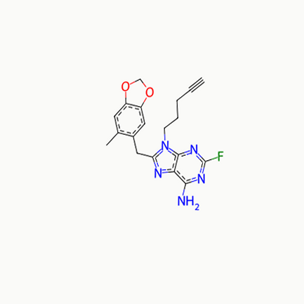 C#CCCCn1c(Cc2cc3c(cc2C)OCO3)nc2c(N)nc(F)nc21